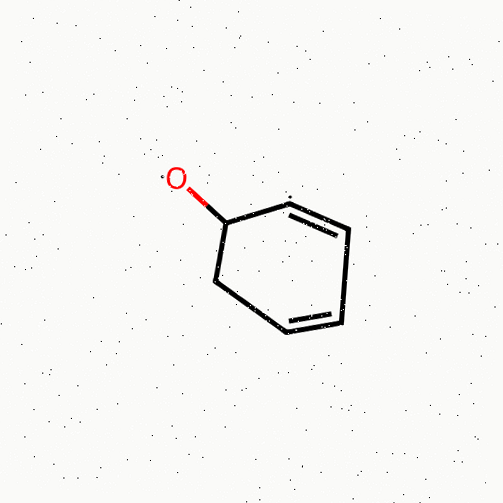 [O]C1[C]=CC=CC1